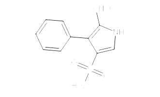 CS(=O)(=O)c1c[nH]c(C=O)c1-c1ccccc1